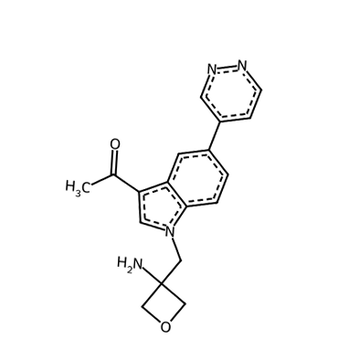 CC(=O)c1cn(CC2(N)COC2)c2ccc(-c3ccnnc3)cc12